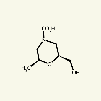 C[C@H]1CN(C(=O)O)C[C@@H](CO)O1